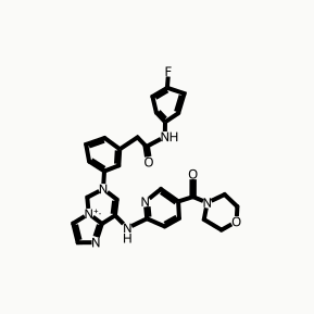 O=C(Cc1cccc(N2C=C(Nc3ccc(C(=O)N4CCOCC4)cn3)C3=NC=C[N+]3C2)c1)Nc1ccc(F)cc1